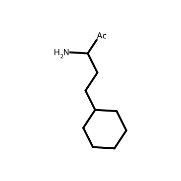 CC(=O)C(N)CCC1CCCCC1